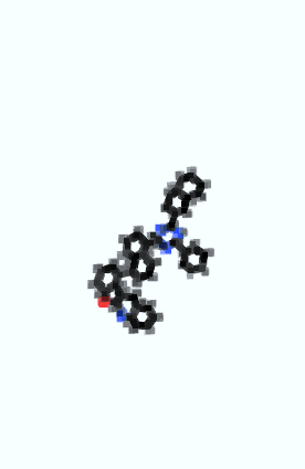 c1ccc(-c2nc(-c3ccc4ccccc4c3)nc(-c3cccc4c(-c5cccc6oc7nc8ccccc8cc7c56)cccc34)n2)cc1